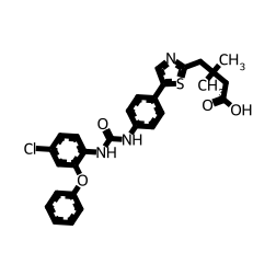 CC(C)(CC(=O)O)Cc1ncc(-c2ccc(NC(=O)Nc3ccc(Cl)cc3Oc3ccccc3)cc2)s1